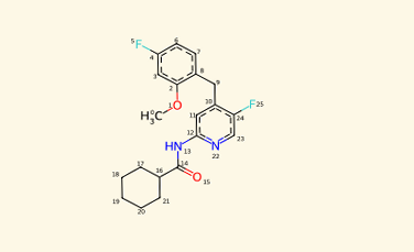 COc1cc(F)ccc1Cc1cc(NC(=O)C2CCCCC2)ncc1F